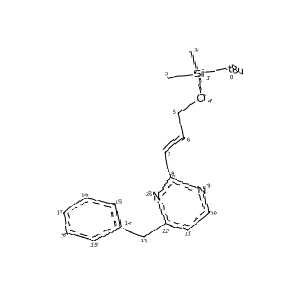 CC(C)(C)[Si](C)(C)OCC=Cc1nccc(Cc2ccccc2)n1